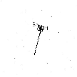 CCCCCCCCCCCCCCCC=CCOP(=O)(O)OCCBr